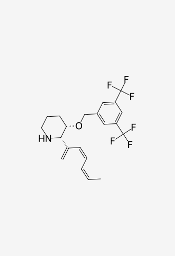 C=C(/C=C\C=C/C)[C@@H]1NCCC[C@@H]1OCc1cc(C(F)(F)F)cc(C(F)(F)F)c1